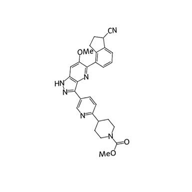 COC(=O)N1CCC(c2ccc(-c3n[nH]c4cc(OC)c(-c5cccc6c5CCC6C#N)nc34)cn2)CC1